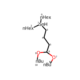 CCCCC[CH2][SnH]([CH2]CCCCC)[CH2]CCC(OCCCC)OCCCC